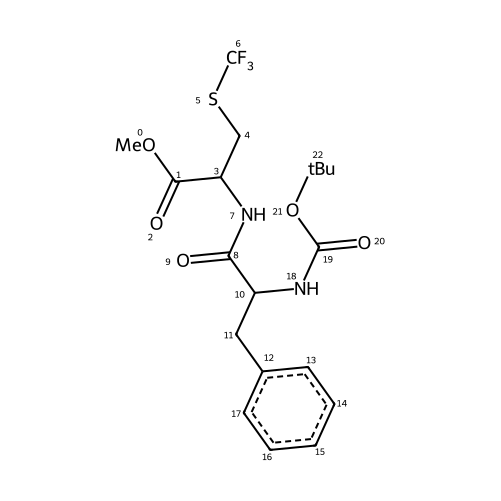 COC(=O)C(CSC(F)(F)F)NC(=O)C(Cc1ccccc1)NC(=O)OC(C)(C)C